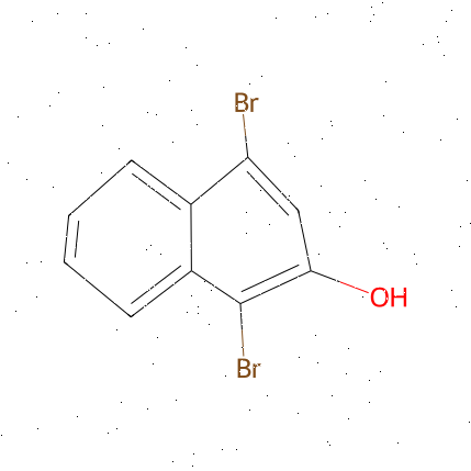 Oc1cc(Br)c2ccccc2c1Br